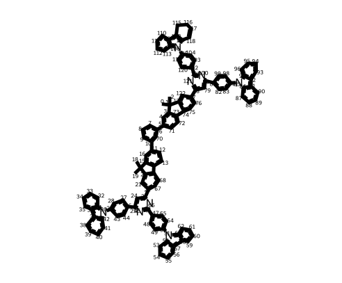 CC1(C)c2cc(-c3cccc(-c4ccc5c(c4)C(C)(C)c4cc(-c6cc(-c7ccc(-n8c9ccccc9c9ccccc98)cc7)nc(-c7ccc(-n8c9ccccc9c9ccccc98)cc7)n6)ccc4-5)c3)ccc2-c2ccc(-c3cc(-c4ccc(-n5c6ccccc6c6ccccc65)cc4)nc(-c4ccc(-n5c6c(c7ccccc75)CCC=C6)cc4)n3)cc21